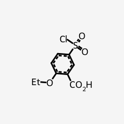 CCOc1ccc(S(=O)(=O)Cl)cc1C(=O)O